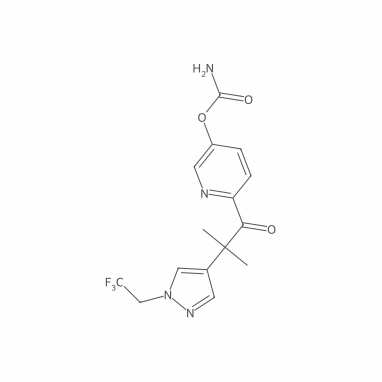 CC(C)(C(=O)c1ccc(OC(N)=O)cn1)c1cnn(CC(F)(F)F)c1